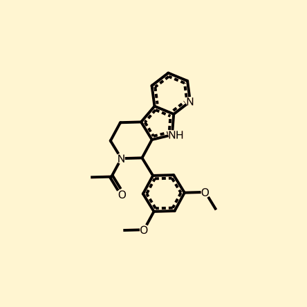 COc1cc(OC)cc(C2c3[nH]c4ncccc4c3CCN2C(C)=O)c1